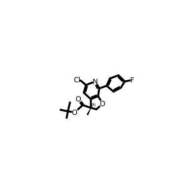 CC(C)(C)OC(=O)[C@@]1(C)COc2c1cc(Cl)nc2-c1ccc(F)cc1